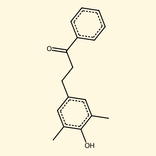 Cc1cc(CCC(=O)c2ccccc2)cc(C)c1O